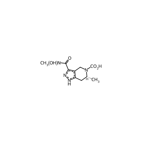 C[C@@H]1Cc2[nH]nc(C(=O)N(C)O)c2CN1C(=O)O